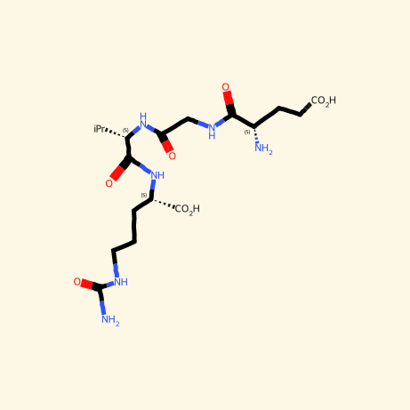 CC(C)[C@H](NC(=O)CNC(=O)[C@@H](N)CCC(=O)O)C(=O)N[C@@H](CCCNC(N)=O)C(=O)O